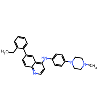 CCc1ccccc1-c1ccc2nccc(Nc3ccc(N4CCN(C)CC4)cc3)c2c1